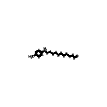 Cc1ccc([SiH2]CCCCCCCCCCC=O)cc1